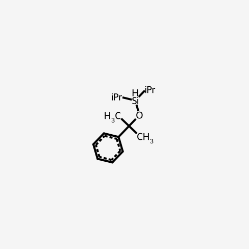 CC(C)[SiH](OC(C)(C)c1ccccc1)C(C)C